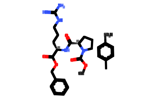 CC(C)(C)OC(=O)N1CCC[C@H]1C(=O)N[C@@H](CCCNC(=N)N)C(=O)OCc1ccccc1.Cc1ccc(S(=O)(=O)O)cc1